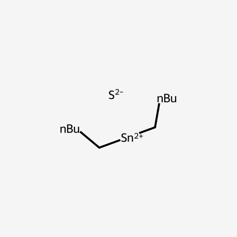 CCCC[CH2][Sn+2][CH2]CCCC.[S-2]